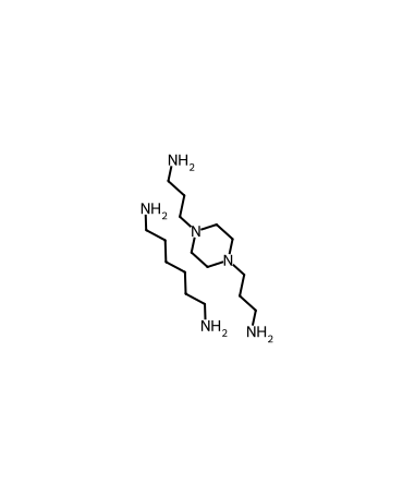 NCCCCCCN.NCCCN1CCN(CCCN)CC1